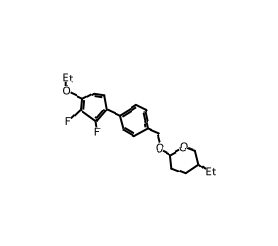 CCOc1ccc(-c2ccc(COC3CCC(CC)CO3)cc2)c(F)c1F